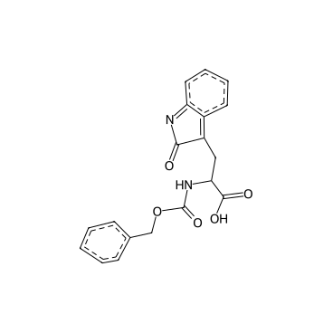 O=C(NC(CC1=c2ccccc2=NC1=O)C(=O)O)OCc1ccccc1